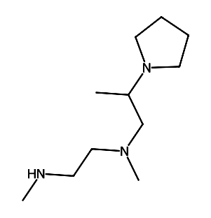 CNCCN(C)CC(C)N1CCCC1